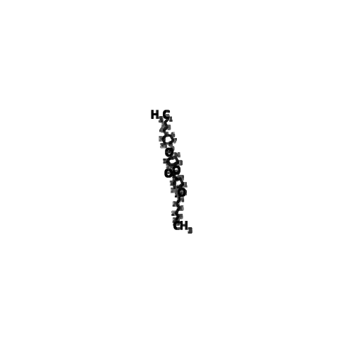 CCC/C=C/[C@H]1CC[C@H](COc2ccc(OC(=O)c3ccc(OCCCCCCCC)cc3)cc2)CC1